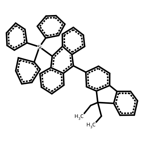 CCC1(CC)c2ccccc2-c2ccc(-c3c4ccccc4c([Si](c4ccccc4)(c4ccccc4)c4ccccc4)c4ccccc34)cc21